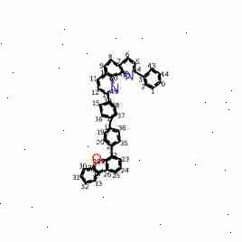 c1ccc(-c2ccc3ccc4ccc(-c5ccc(-c6ccc(-c7cccc8c7oc7ccccc78)cc6)cc5)nc4c3n2)cc1